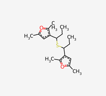 CCC(SC(CC)c1cc(C)oc1C)c1cc(C)oc1C